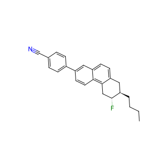 CCCC[C@@H]1Cc2ccc3cc(-c4ccc(C#N)cc4)ccc3c2C[C@H]1F